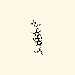 CCS(=O)(=O)C[C@H](C)COc1c(Cl)cc(C(C)(C)c2ccc(OC[C@@H](CCl)OC(C)=O)cc2)cc1Cl